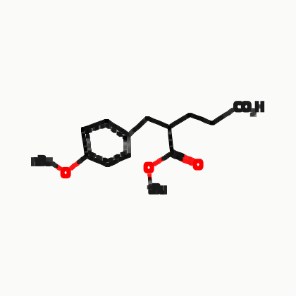 CCCCOc1ccc(CC(CCC(=O)O)C(=O)OC(C)(C)C)cc1